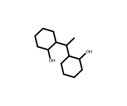 CC(C1CCCCC1O)C1CCCCC1O